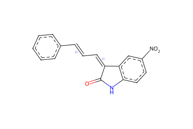 O=C1Nc2ccc([N+](=O)[O-])cc2/C1=C/C=C/c1ccccc1